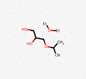 CC(C#N)OCC(O)CO.CCOCC